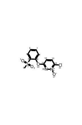 CS(=O)(=O)c1ccccc1Oc1ccc(Cl)[n+]([O-])n1